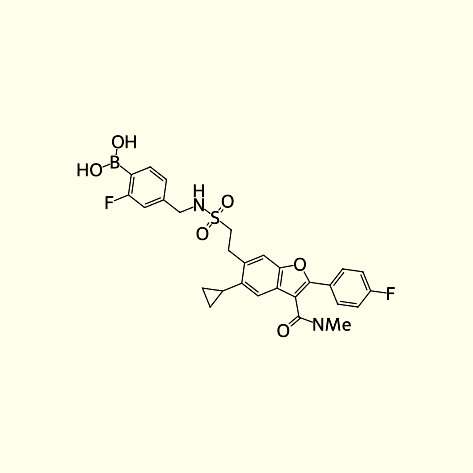 CNC(=O)c1c(-c2ccc(F)cc2)oc2cc(CCS(=O)(=O)NCc3ccc(B(O)O)c(F)c3)c(C3CC3)cc12